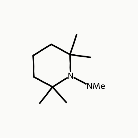 CNN1C(C)(C)CCCC1(C)C